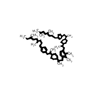 C=C(C)CCC(=C)CCCc1ccc(CC(=C)C2CCC(C(=C)Cc3ccc(CC(=C)C4CCC(C(=C)Cc5ccc(CCCC(=C)CCC(=C)CC)cc5)CC4)c(C)c3C)CC2)cc1